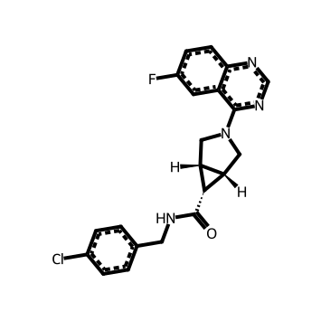 O=C(NCc1ccc(Cl)cc1)[C@@H]1[C@@H]2CN(c3ncnc4ccc(F)cc34)C[C@@H]21